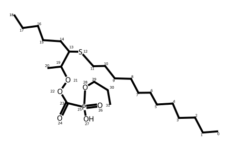 CCCCCCCCCCCCSC(CCCCC)C(C)OOC(=O)P(=O)(O)OCCC